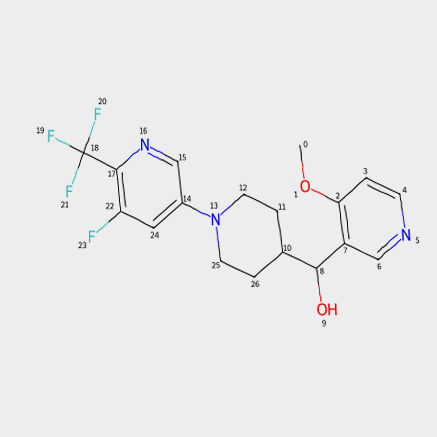 COc1ccncc1C(O)C1CCN(c2cnc(C(F)(F)F)c(F)c2)CC1